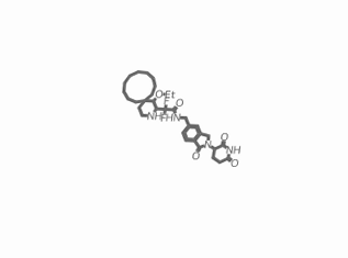 CCOC1C(C(F)(F)C(=O)NCc2ccc3c(c2)CN(C2CCC(=O)NC2=O)C3=O)NCCC12CCCCCCCCCC2